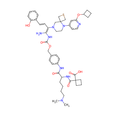 CN(C)CCCCC(NC(=O)C1(C(=O)O)CCC1)C(=O)Nc1ccc(COC(=O)N/C(N)=C(/C=C/c2ccccc2O)N2CCN(c3ccnc(OC4CCC4)c3)C3(CSC3)C2)cc1